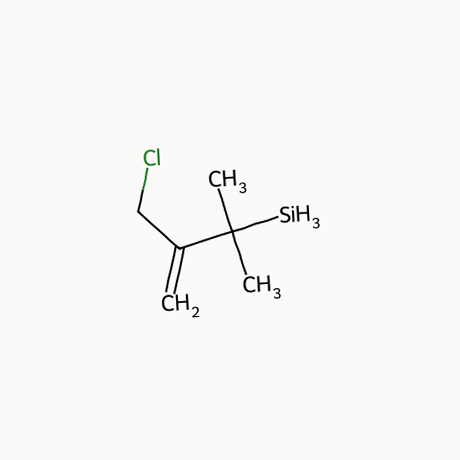 C=C(CCl)C(C)(C)[SiH3]